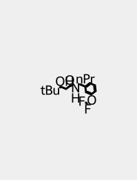 CCCC(NC(=O)CC(O)C(C)(C)C)c1cccc(OC(F)F)c1